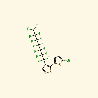 FC(F)C(F)(F)C(F)(F)C(F)(F)C(F)(F)C(F)(F)C(F)(F)c1ccsc1-c1ccc(Br)s1